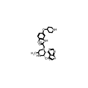 Cc1ccc(OC2CCNCC2)cc1NC(=O)CN1CC(C)N[C@@H](C)[C@H]1c1ncnc2sccc12